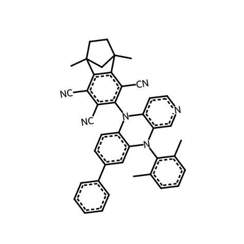 Cc1cccc(C)c1N1c2cnccc2N(c2c(C#N)c(C#N)c3c(c2C#N)C2(C)CCC3(C)C2)c2ccc(-c3ccccc3)cc21